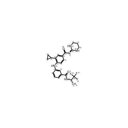 CC(NC(=O)c1cccc(Nc2ccc(C(=O)N=C3NCCCN3)cc2C2CC2)c1)C(F)(F)F